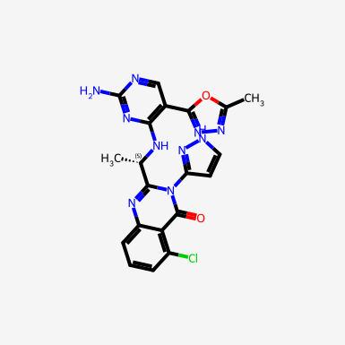 Cc1nnc(-c2cnc(N)nc2N[C@@H](C)c2nc3cccc(Cl)c3c(=O)n2-c2cc[nH]n2)o1